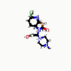 CN1CCN(C(=C=O)n2c(=O)sc3nc(Cl)ccc32)CC1